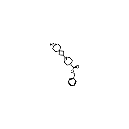 O=C(OCc1ccccc1)N1CCN(C2CC3(CCNCC3)C2)CC1